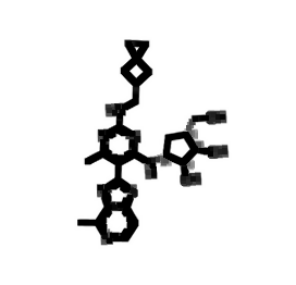 Cc1nc(NCC2CC3(CC3)C2)nc(N[C@@H]2C[C@H](CO)[C@@H](O)[C@H]2O)c1-c1nc2c(C)nccc2s1